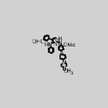 COc1cc(N2CCC(N3CCN(C)CC3)CC2)ccc1Nc1ncc(-c2cccc(C=O)c2)c(Nc2ccccc2)n1